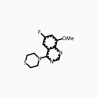 COc1cc(F)cc2c(N3CCSCC3)ncnc12